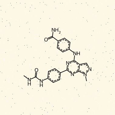 CNC(=O)Nc1ccc(-c2nc(Nc3ccc(C(N)=O)cc3)c3cnn(C)c3n2)cc1